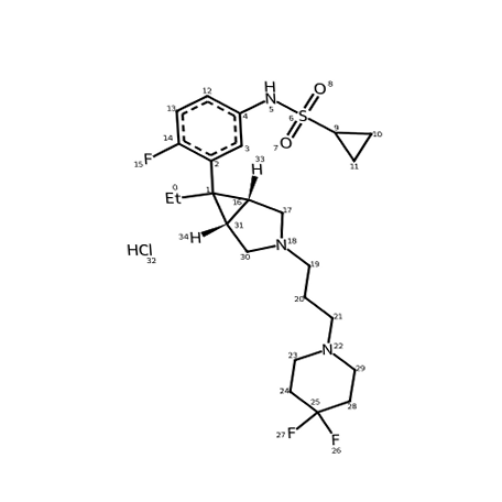 CCC1(c2cc(NS(=O)(=O)C3CC3)ccc2F)[C@@H]2CN(CCCN3CCC(F)(F)CC3)C[C@@H]21.Cl